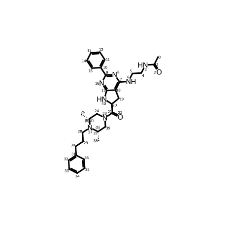 CC(=O)NCCNc1nc(-c2ccccc2)nc2c1CC(C(=O)N1C[C@@H](C)N(CCCc3ccccc3)[C@@H](C)C1)N2